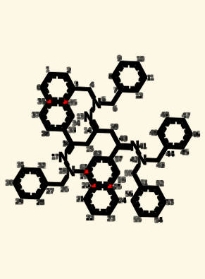 c1ccc(CN(Cc2ccccc2)N=C(CC(=NN(Cc2ccccc2)Cc2ccccc2)c2ccccc2)CC(=NN(Cc2ccccc2)Cc2ccccc2)c2ccccc2)cc1